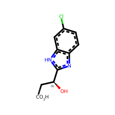 O=C(O)C[C@H](O)c1nc2ccc(Cl)cc2[nH]1